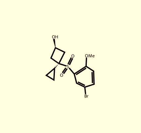 COc1ccc(Br)cc1S(=O)(=O)[C@]1(C2CC2)C[C@H](O)C1